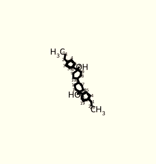 CCCc1ccc(C2(O)CCC(C3CCC(O)(c4ccc(CCC)cc4)CC3)CC2)cc1